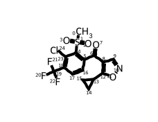 CS(=O)(=O)c1c(C(=O)c2cnoc2C2CC2)ccc(C(F)(F)F)c1Cl